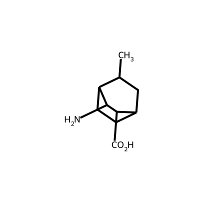 CC1CC2CCC1C(N)C2C(=O)O